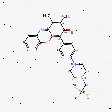 Cc1c2nc3ccccc3oc-2c(-c2ccc(N3CCN(CC(F)(F)F)CC3)cc2)c(=O)c1C